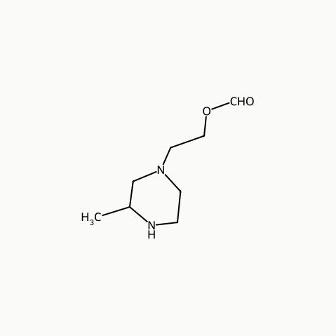 CC1CN(CCOC=O)CCN1